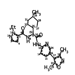 CCn1nccc1C(=O)N[C@H](C(=O)Nc1ccc(-c2c(C)noc2C)cn1)[C@H]1CC[C@H](C)CC1